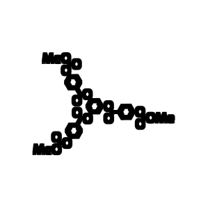 COC(=O)Oc1ccc(C(=O)Oc2cc(OC(=O)c3ccc(OC(=O)OC)cc3)cc(OC(=O)c3ccc(OC(=O)OC)cc3)c2)cc1